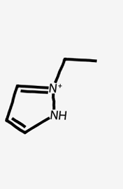 CC[n+]1ccc[nH]1